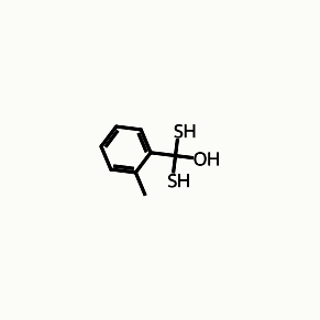 Cc1ccccc1C(O)(S)S